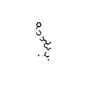 CC(=O)O/N=C(\C(=O)N[C@@H]1C(=O)N2C(C(=O)O)=C(C=C3CCN(C4CCN(Cc5ccccc5)CC4)C3=O)CC[C@H]12)c1csc(N)n1